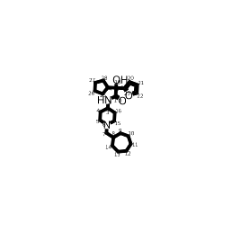 O=C(NC1CCN(CC2CCCCCC2)CC1)C(O)(c1ccco1)C1CCCC1